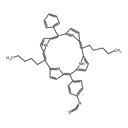 CCCCCc1c2nc(c(-c3ccc(N=C=S)cc3)c3ccc([nH]3)c(CCCCC)c3nc(c(-c4ccccc4)c4ccc1[nH]4)C=C3)C=C2